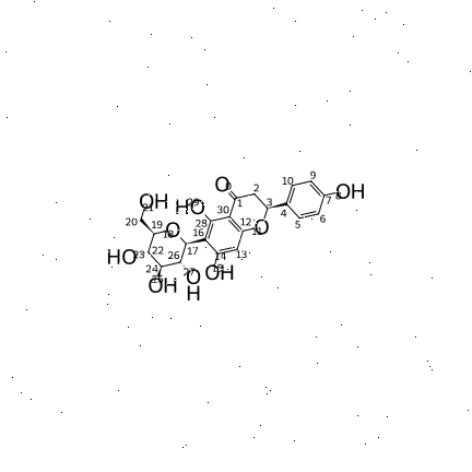 O=C1C[C@@H](c2ccc(O)cc2)Oc2cc(O)c([C@@H]3O[C@H](CO)[C@@H](O)[C@H](O)[C@H]3O)c(O)c21